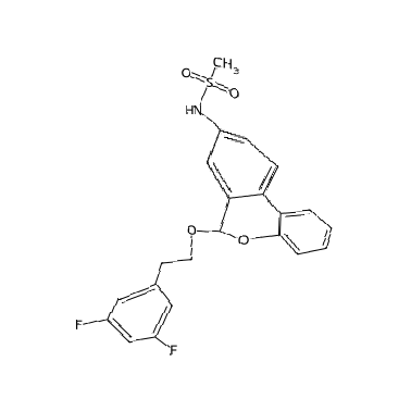 CS(=O)(=O)Nc1ccc2c(c1)C(OCCc1cc(F)cc(F)c1)Oc1ccccc1-2